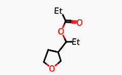 CCC(=O)OC(CC)C1CCOC1